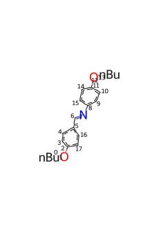 CCCCOc1ccc(/C=N/c2ccc(OCCCC)cc2)cc1